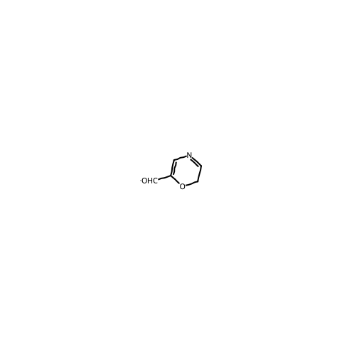 O=[C]C1=CN=CCO1